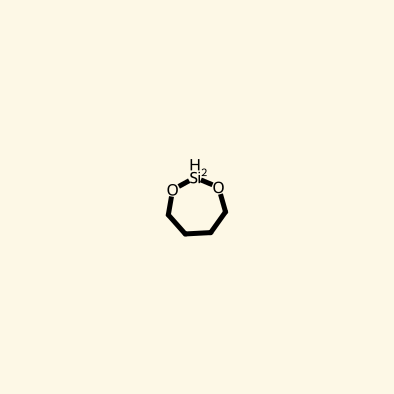 C1CCO[SiH2]OC1